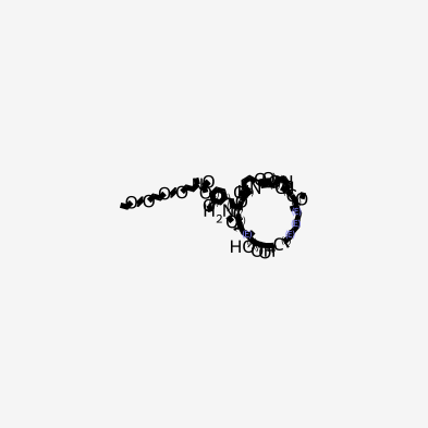 CCOCCOCCOCCOCCN(C)C(=O)O[C@@H]1CC[C@@H](C[C@@H](N)[C@@H]2C[C@@H](OC)[C@H](C)/C=C(\C)[C@@H](O)[C@@H](O)C(=O)[C@H](C)C[C@H](C)/C=C/C=C/C=C(\C)[C@@H](OC)C[C@@H]3CC[C@@H](C)[C@@](O)(O3)C(=O)C(=O)N3CCCC[C@H]3C(=O)O2)C[C@H]1OC